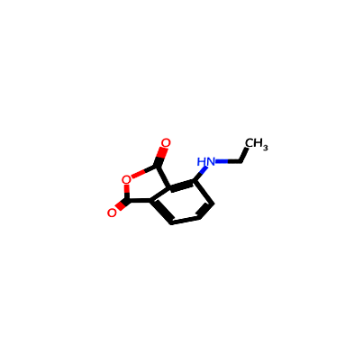 CCNc1cccc2c1C(=O)OC2=O